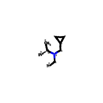 CC(C)CN(CC1CC1)[C@@H](C)C(C)C